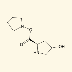 O=C(ON1CCCC1)[C@H]1CC(O)CN1